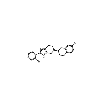 Clc1ccc2c(c1)CC(N1CCc3nc(-c4ccccc4Br)[nH]c3C1)CC2